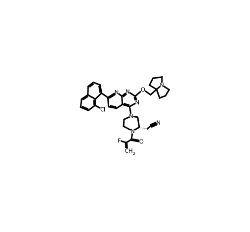 C=C(F)C(=O)N1CCN(c2nc(OCC34CCCN3CCC4)nc3nc(-c4cccc5cccc(Cl)c45)ccc23)C[C@@H]1CC#N